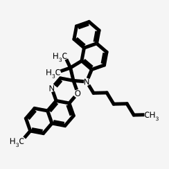 CCCCCCN1c2ccc3ccccc3c2C(C)(C)C12C=Nc1c(ccc3cc(C)ccc13)O2